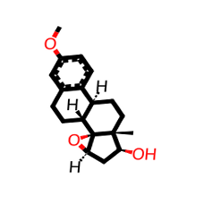 COc1ccc2c(c1)CC[C@@H]1[C@@H]2CC[C@]2(C)[C@@H](O)C[C@H]3O[C@]132